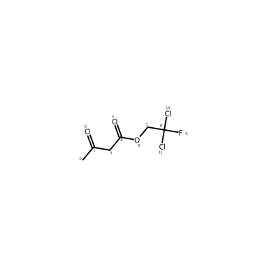 CC(=O)CC(=O)OCC(F)(Cl)Cl